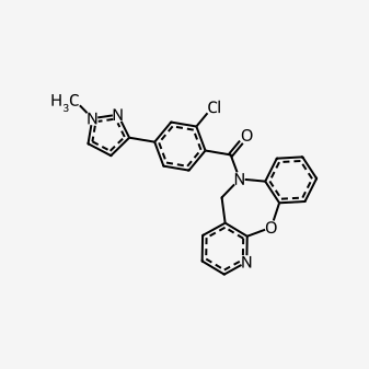 Cn1ccc(-c2ccc(C(=O)N3Cc4cccnc4Oc4ccccc43)c(Cl)c2)n1